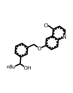 CCCCC(O)c1cccc(COc2ccc3nccc(Cl)c3c2)c1